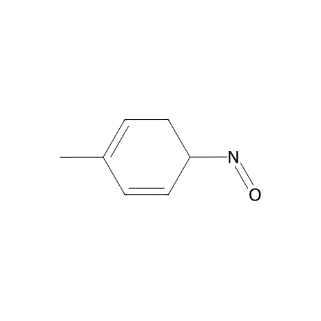 CC1=CCC(N=O)C=C1